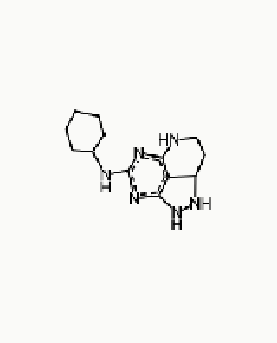 C1CCC(Nc2nc3c4c(n2)NNC4CCN3)CC1